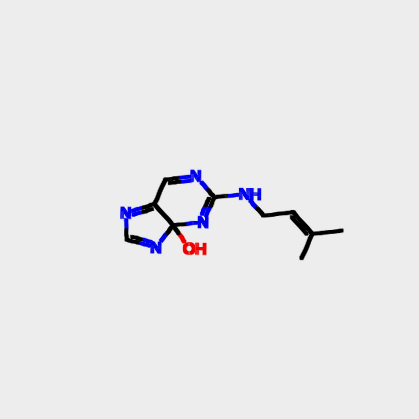 CC(C)=CCNC1=NC2(O)N=CN=C2C=N1